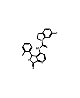 Cc1ccccc1C1NC(=O)c2nccc(NC(=O)N3CCc4ccc(F)cc43)c21